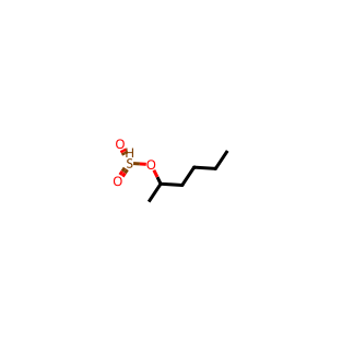 CCCCC(C)O[SH](=O)=O